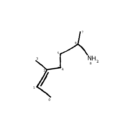 C/C=C(/C)CCC(C)N